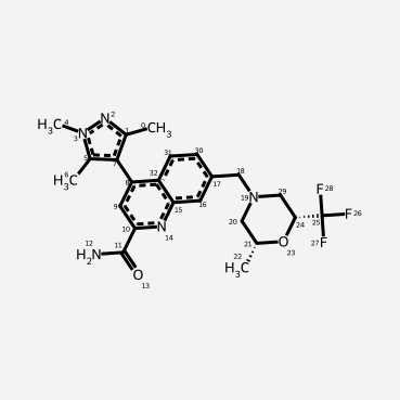 Cc1nn(C)c(C)c1-c1cc(C(N)=O)nc2cc(CN3C[C@@H](C)O[C@@H](C(F)(F)F)C3)ccc12